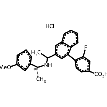 COc1cccc([C@@H](C)NC(C)c2cc(-c3ccc(C(=O)O)cc3F)c3ccccc3c2)c1.Cl